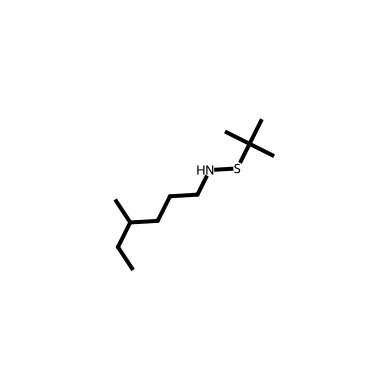 CCC(C)CCCNSC(C)(C)C